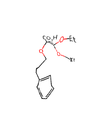 CCOC(OCC)=C(OCCc1ccccc1)C(=O)O